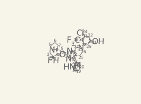 [2H][C@]1(F)CN2CCC[C@@]2(COc2nc3c(c(N4CC5CCC4CN5)n2)CCN(c2cc(O)cc(Cl)c2C(F)(F)F)C3)C1